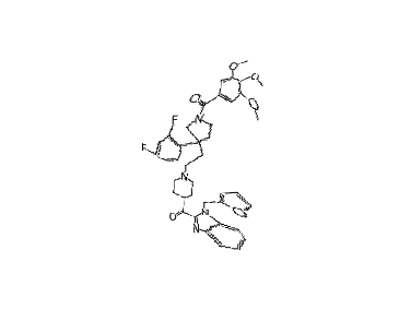 COc1cc(C(=O)N2CCC(CCN3CCC(C(=O)c4nc5ccccc5n4Cc4ccco4)CC3)(c3ccc(F)cc3F)C2)cc(OC)c1OC